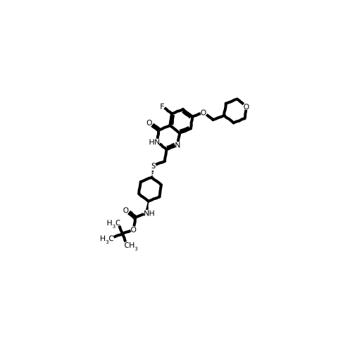 CC(C)(C)OC(=O)N[C@H]1CC[C@H](SCc2nc3cc(OCC4CCOCC4)cc(F)c3c(=O)[nH]2)CC1